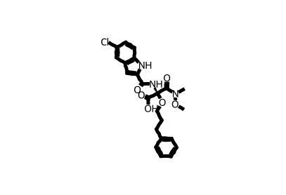 CON(C)C(=O)[C@](NC(=O)c1cc2cc(Cl)ccc2[nH]1)(OCCCc1ccccc1)C(=O)O